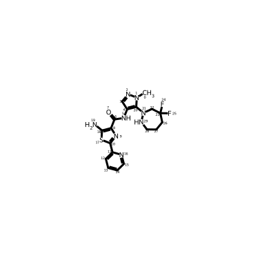 Cn1ncc(NC(=O)c2nc(-c3ccccn3)sc2N)c1N1CC(F)(F)CCCN1